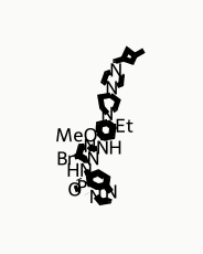 CCc1cc(Nc2ncc(Br)c(Nc3ccc4nccnc4c3P(C)(C)=O)n2)c(OC)cc1N1CCC(N2CCN(CC3CC(C)C3)CC2)CC1